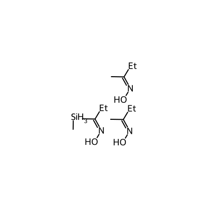 CCC(C)=NO.CCC(C)=NO.CCC(C)=NO.C[SiH3]